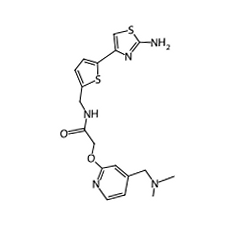 CN(C)Cc1ccnc(OCC(=O)NCc2ccc(-c3csc(N)n3)s2)c1